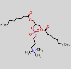 CCCCCCCCCCCCCCCC(=O)OCC(COC(=O)CCCCCCCCCCCCCCC)OP(=O)([O-])OCCC[N+](C)(C)C